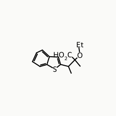 CCOC(C)(C(=O)O)C(C)c1cc2ccccc2s1